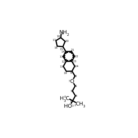 CC(C)(O)CCCOCC1CCc2cc(C3CCC(N)C3)ccc2C1